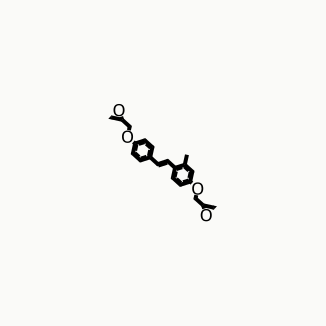 Cc1cc(OCC2CO2)ccc1C=Cc1ccc(OCC2CO2)cc1